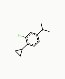 C[C](C)c1ccc(C2CC2)c(F)c1